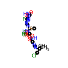 CC1(C)CCC(c2ccc(Cl)cc2)=C(CN2CCN(c3ccc(C(=O)NS(=O)(=O)c4ccc(N[C@H](CCN5CCN(Cc6nnc(N7CCC(=O)NC7=O)cc6F)CC5)CSc5ccccc5)c(S(=O)(=O)C(F)(F)F)c4)cc3)CC2)C1